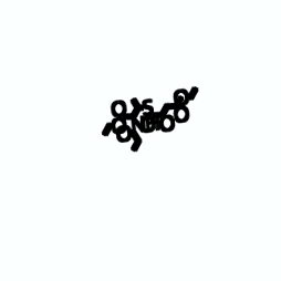 CCOC(=O)CC(=O)C(=O)SC(C)C(NC(=O)CC)C(=O)OCC